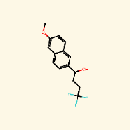 COc1ccc2cc(C(O)CCC(F)(F)F)ccc2c1